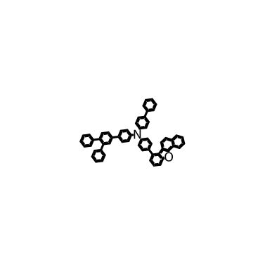 c1ccc(-c2ccc(N(c3ccc(-c4ccc(-c5ccccc5)c(-c5ccccc5)c4)cc3)c3ccc(-c4cccc5oc6c7ccccc7ccc6c45)cc3)cc2)cc1